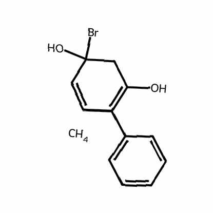 C.OC1=C(c2ccccc2)C=CC(O)(Br)C1